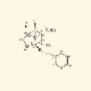 C[C@H]1[C@H](C=O)[C@H](OCc2ccccc2)[C@@H]2OC[C@@H]1O2